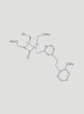 COCO[C@@]1(Cc2cc(CCc3ccccc3OC)ccn2)C(=O)N(COC)[C@H]1CC(C)C